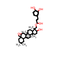 CC1(C)CCC2(CO)CCC3(C)C(=CCC4C5(C)CCC(O)C(C)(COC(O)/C=C/c6ccc(O)c(O)c6)C5CCC43C)C2C1